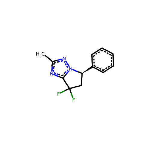 Cc1nc2n(n1)[C@@H](c1ccccc1)CC2(F)F